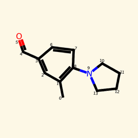 Cc1cc(C=O)ccc1N1CCCC1